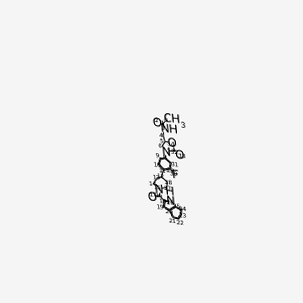 CC(=O)NCC1CN(c2ccc(C3CCN(C(=O)c4cc5ccccc5[nH]4)CC3)c(F)c2)C(=O)O1